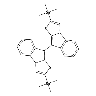 [CH3][Sn]([CH3])([CH3])[C]1=CC2C(=C(C3=C4S[C]([Sn]([CH3])([CH3])[CH3])=CC4c4ccccc43)c3ccccc32)S1